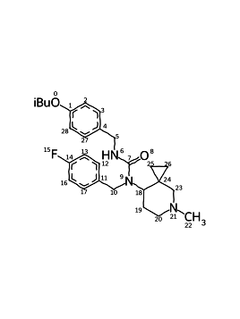 CC(C)COc1ccc(CNC(=O)N(Cc2ccc(F)cc2)C2CCN(C)CC23CC3)cc1